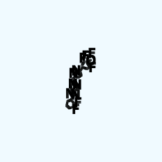 Fc1cccc(-c2nc3cnn(Cc4ccc(-c5cc(F)c(OC(F)F)c(F)c5)nn4)cc-3n2)c1F